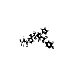 CNC(=O)C(=O)N1CC[C@@H](NS(=O)(=O)c2cn(C3CCCC3)c(C(=O)Nc3ccc(F)c(F)c3)c2F)C1